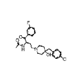 CC(=O)NC(CCN1CCC(O)(Cc2ccc(Cl)cc2)CC1)C(=O)c1cccc(F)c1